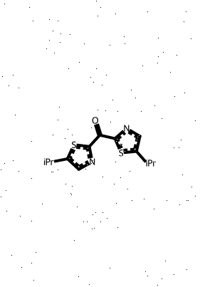 CC(C)c1cnc(C(=O)c2ncc(C(C)C)s2)s1